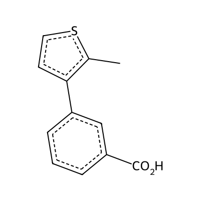 Cc1sccc1-c1cccc(C(=O)O)c1